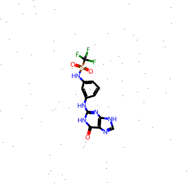 O=c1[nH]c(Nc2cccc(NS(=O)(=O)C(F)(F)F)c2)nc2[nH]cnc12